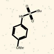 COc1ccc(NS(=O)(=O)C(C)(C)C)cc1